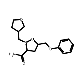 NC(=O)C1CC(COc2ccccc2)ON1CC1CCOC1